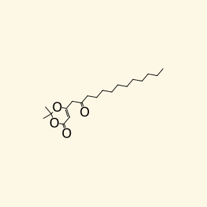 CCCCCCCCCCCC(=O)CC1=CC(=O)OC(C)(C)O1